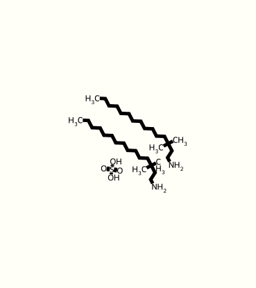 CCCCCCCCCCCCC(C)(C)CCN.CCCCCCCCCCCCC(C)(C)CCN.O=S(=O)(O)O